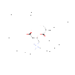 C[C@H](CO)C(=O)O[C@H](CC(=O)[O-])C[N+](C)(C)C